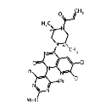 C=CC(=O)N1C[C@H](C)N(c2nc(=O)n(-c3c(C(C)C)nc(OC)nc3C(C)C)c3nc(Cl)c(Cl)cc23)C[C@H]1C